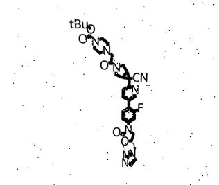 CC(C)(C)OC(=O)N1CCN(CC(=O)N2CC3C(C2)C3(C#N)c2ccc(-c3ccc(N4C[C@H](Cn5ccnn5)OC4=O)cc3F)cn2)CC1